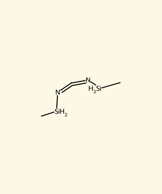 C[SiH2]N=C=N[SiH2]C